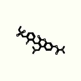 CCS(=O)(=O)Cc1cccc(Cc2c(CN(C)C)c3ccc(OC(=O)N(C)C)cc3oc2=O)c1F